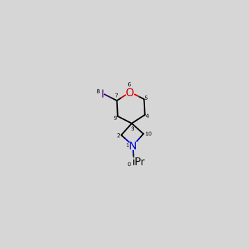 CC(C)N1CC2(CCOC(I)C2)C1